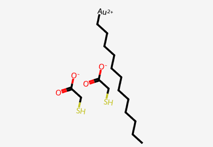 CCCCCCCCCCC[CH2][Au+2].O=C([O-])CS.O=C([O-])CS